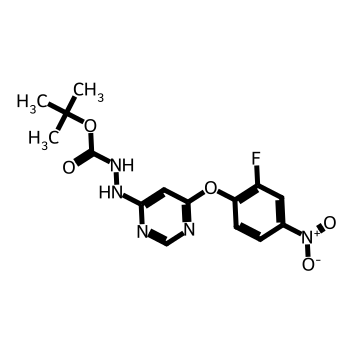 CC(C)(C)OC(=O)NNc1cc(Oc2ccc([N+](=O)[O-])cc2F)ncn1